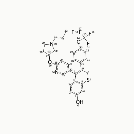 Oc1ccc2c(c1)SCC(c1ccc(OC(F)(F)F)cc1)=C2c1ccc(O[C@H]2CCN(CCCF)C2)nc1